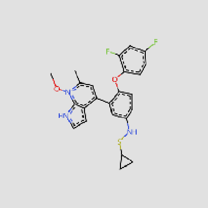 CO[n+]1c(C)cc(-c2cc(NSC3CC3)ccc2Oc2ccc(F)cc2F)c2cc[nH]c21